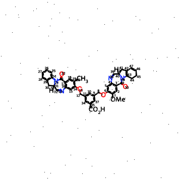 COc1cc2c(cc1OCc1cc(COc3cc4c(cc3C)C(=O)N3c5ccccc5C[C@H]3C=N4)cc(C(=O)O)c1)N=C[C@@H]1CC3=C(CCC=C3)N1C2=O